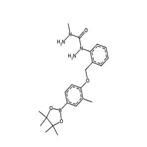 Cc1cc(B2OC(C)(C)C(C)(C)O2)ccc1OCc1ccccc1N(N)C(=O)N(C)N